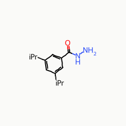 CC(C)c1cc(C(=O)NN)cc(C(C)C)c1